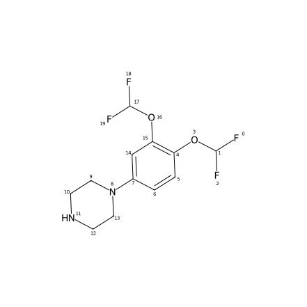 FC(F)Oc1ccc(N2CCNCC2)cc1OC(F)F